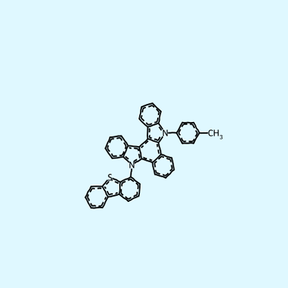 Cc1ccc(-n2c3ccccc3c3c4c5ccccc5n(-c5cccc6c5sc5ccccc56)c4c4ccccc4c32)cc1